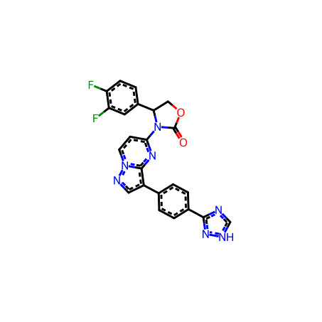 O=C1OCC(c2ccc(F)c(F)c2)N1c1ccn2ncc(-c3ccc(-c4nc[nH]n4)cc3)c2n1